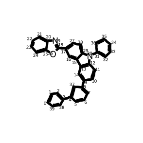 c1ccc(-c2cccc(-c3ccc4c(c3)c3cc(-c5nc6ccccc6o5)ccc3n4-c3ccccc3)c2)cc1